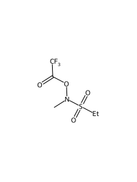 CCS(=O)(=O)N(C)OC(=O)C(F)(F)F